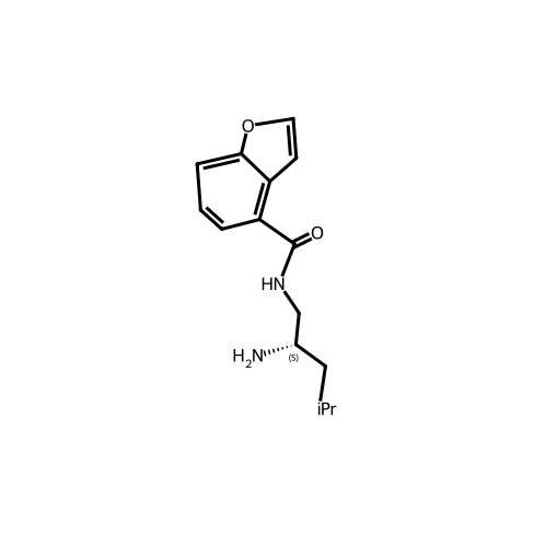 CC(C)C[C@H](N)CNC(=O)c1cccc2occc12